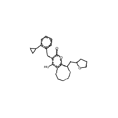 O=c1oc2c(c(O)c1Cc1ccccc1C1CC1)CCCCCC2CC1CCCO1